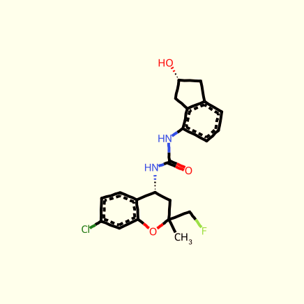 CC1(CF)C[C@@H](NC(=O)Nc2cccc3c2C[C@H](O)C3)c2ccc(Cl)cc2O1